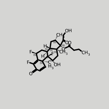 CCCC(=O)O[C@@]1(C(=O)CO)[C@@H](C)C[C@H]2[C@@H]3C[C@H](F)C4=C(F)C(=O)C=C[C@]4(C)[C@@]3(F)[C@@H](O)C[C@@]21C